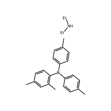 CCNCC.Cc1cc[c]([Bi]([c]2ccc(C)cc2)[c]2ccc(C)cc2C)cc1